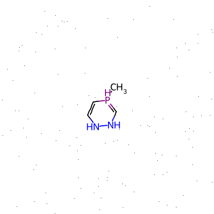 C[PH]1=CNNC=C1